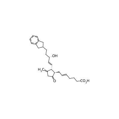 C=C1CC(=O)[C@H](CC=CCCCC(=O)O)[C@H]1C=C[C@@H](O)CCC1Cc2ccccc2C1